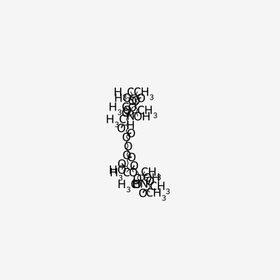 COC1OC(COC(=O)C(C)C(C)C(=O)O)C(C)C(O)C1NC(=O)C(C)CC(C=O)CCC(=O)OCCOCCOC(=O)CCC(C(=O)O)C(C)C(=O)OCC1OC(OC)C(NC(=O)C(C)C(C)C=O)C(O)C1C